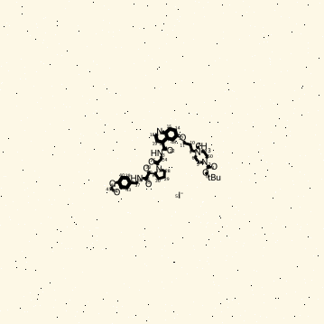 CC(C)(C)OC(=O)N1CC[N+](C)(CCCOc2ccc3nccc(C(=O)NCC(=O)N4CCC[C@H]4C(=O)C(=O)NCc4ccc5c(c4)OCO5)c3c2)CC1.[I-]